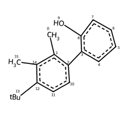 Cc1c(-c2ccccc2O)ccc(C(C)(C)C)c1C